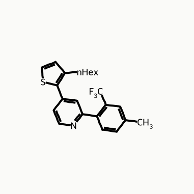 CCCCCCc1ccsc1-c1ccnc(-c2ccc(C)cc2C(F)(F)F)c1